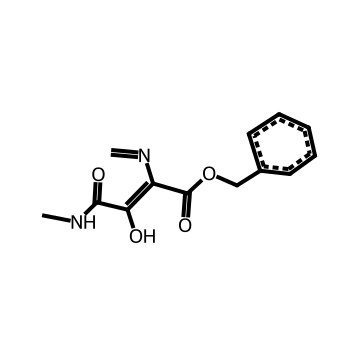 C=N/C(C(=O)OCc1ccccc1)=C(/O)C(=O)NC